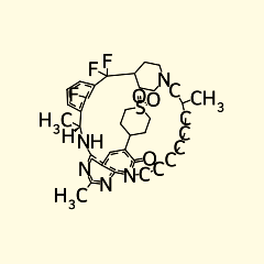 Cc1nc2c3cc(C4CCS(=O)(=O)CC4)c(=O)n(c3n1)CCCCCCC(C)CN1CCC(CC1)C(F)(F)c1cccc(c1F)[C@@H](C)N2